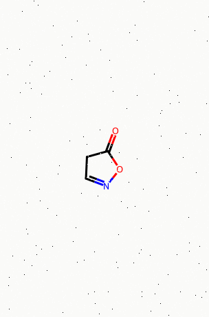 O=C1CC=NO1